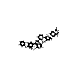 CC(C)(/C=C(/C#N)C(=O)N1CCC[C@@H](c2nc(-c3ccc(Oc4ccccc4)cc3)c3c(N)nccn23)C1)N1CCN2C(=O)OC[C@H]2C1